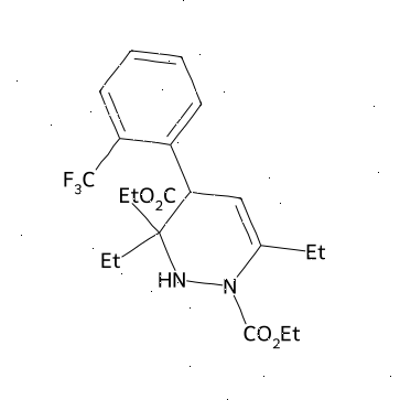 CCOC(=O)N1NC(CC)(C(=O)OCC)C(c2ccccc2C(F)(F)F)C=C1CC